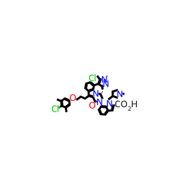 Cc1cc(OCCCc2c3n(c4c(-c5c(C)nn(C)c5C)c(Cl)ccc24)[C@H](C)CN(c2cccc4cc(C(=O)O)n(CC5CCN(C)C5)c24)C3=O)cc(C)c1Cl